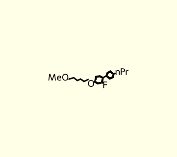 CCCc1ccc(-c2ccc(OCCCCCCOC)cc2F)cc1